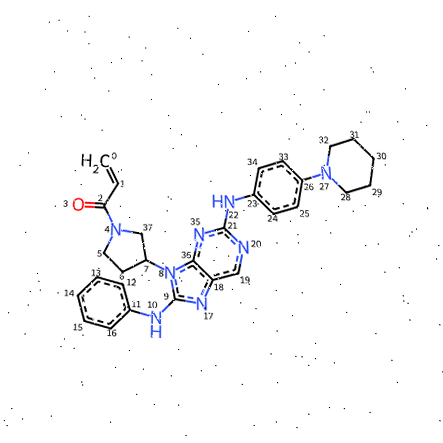 C=CC(=O)N1CCC(n2c(Nc3ccccc3)nc3cnc(Nc4ccc(N5CCCCC5)cc4)nc32)C1